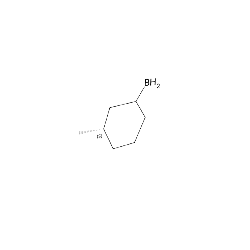 BC1CCC[C@H](C)C1